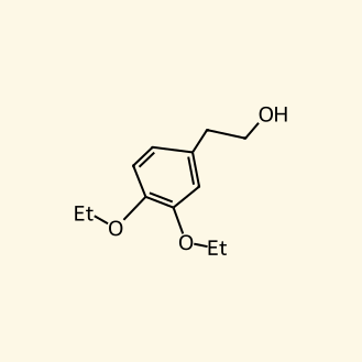 CCOc1ccc(CCO)cc1OCC